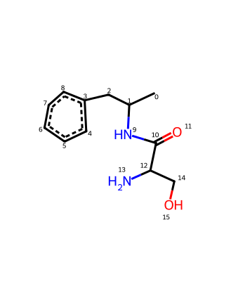 CC(Cc1ccccc1)NC(=O)C(N)CO